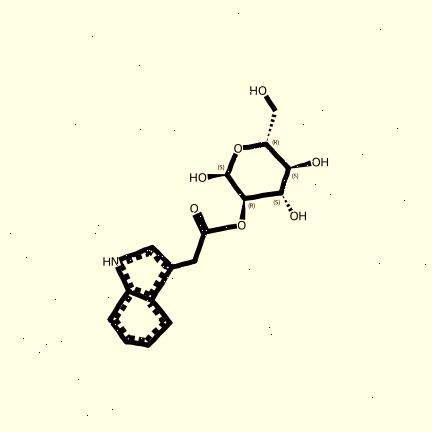 O=C(Cc1c[nH]c2ccccc12)O[C@@H]1[C@@H](O)[C@H](O)[C@@H](CO)O[C@@H]1O